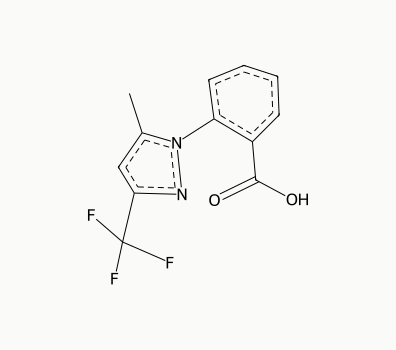 Cc1cc(C(F)(F)F)nn1-c1ccccc1C(=O)O